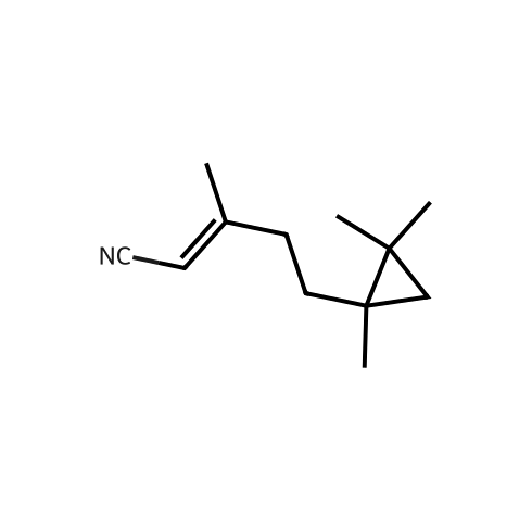 CC(=CC#N)CCC1(C)CC1(C)C